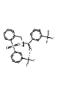 O=C(NCc1ccccc1S(=O)(=O)c1cccc(C(F)(F)F)c1)c1ccnc(C(F)(F)F)c1